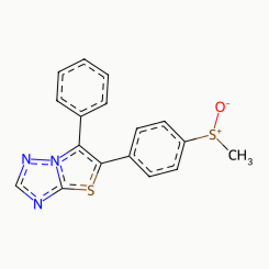 C[S+]([O-])c1ccc(-c2sc3ncnn3c2-c2ccccc2)cc1